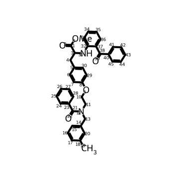 COC(=O)C(Cc1ccc(OCCN(Cc2cccc(C)c2)C(=O)c2ccccc2)cc1)Nc1ccccc1C(=O)c1ccccc1